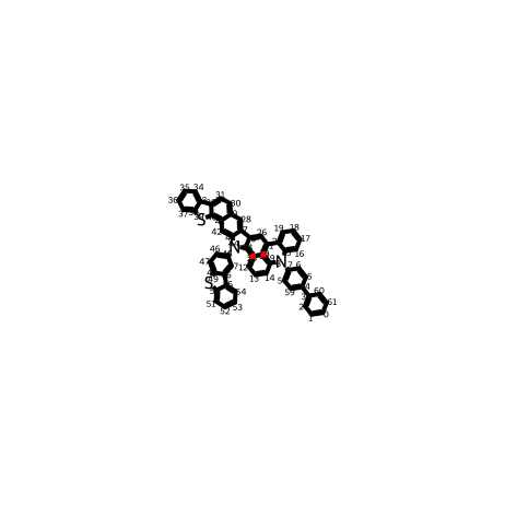 c1ccc(-c2ccc(N(c3ccccc3)c3ccccc3-c3ccc4c(c3)c3cc5ccc6c7ccccc7sc6c5cc3n4-c3ccc4sc5ccccc5c4c3)cc2)cc1